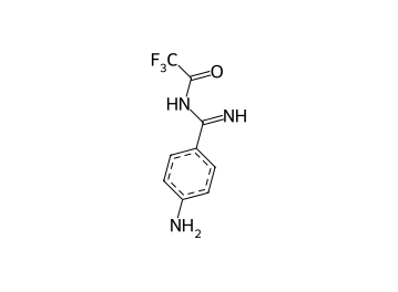 N=C(NC(=O)C(F)(F)F)c1ccc(N)cc1